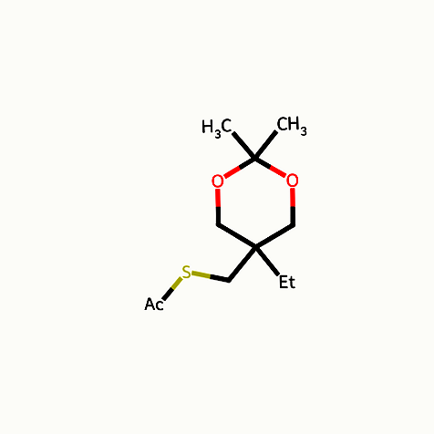 CCC1(CSC(C)=O)COC(C)(C)OC1